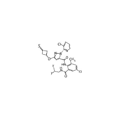 Cc1cc(Cl)cc(C(=O)NCC(F)F)c1NC(=O)c1cc(OC2CC(=S)C2)nn1-c1ncccc1Cl